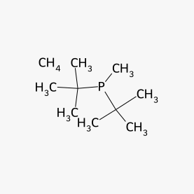 C.CP(C(C)(C)C)C(C)(C)C